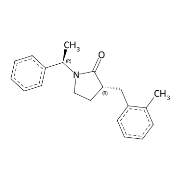 Cc1ccccc1C[C@@H]1CCN([C@H](C)c2ccccc2)C1=O